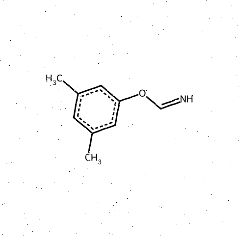 Cc1cc(C)cc(OC=N)c1